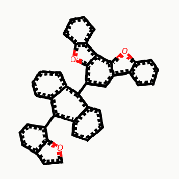 c1cc(-c2c3ccccc3c(-c3cc4c5ccccc5oc4c4c3oc3ccccc34)c3ccccc23)c2occc2c1